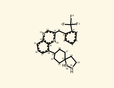 FC(F)(F)c1ccccc1Cc1cnc2cccc(C3CCC4(CCNN4)CC3)c2n1